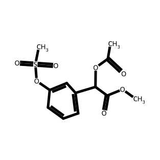 COC(=O)C(OC(C)=O)c1cccc(OS(C)(=O)=O)c1